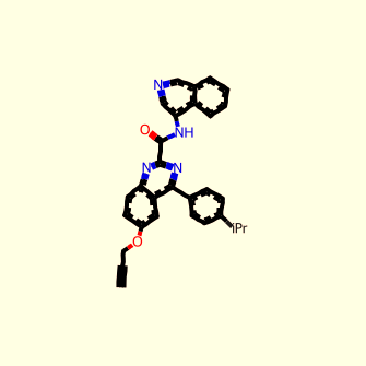 C#CCOc1ccc2nc(C(=O)Nc3cncc4ccccc34)nc(-c3ccc(C(C)C)cc3)c2c1